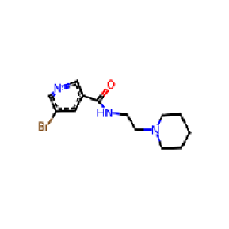 O=C(NCCN1CCCCC1)c1cncc(Br)c1